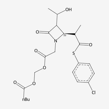 CCCCC(=O)OCOC(=O)CN1C(=O)C(C(C)O)[C@H]1C(C)C(=O)Sc1ccc(Cl)cc1